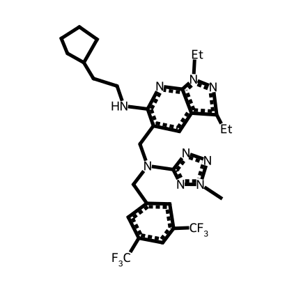 CCc1nn(CC)c2nc(NCCC3CCCC3)c(CN(Cc3cc(C(F)(F)F)cc(C(F)(F)F)c3)c3nnn(C)n3)cc12